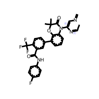 C=N/C=C(\N=C/C)N1C(=O)C(C)(C)Oc2c(-c3ccc(C(F)(F)F)c(C(=O)Nc4ccc(F)cc4)c3)cccc21